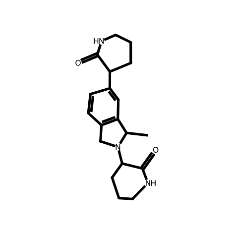 CC1c2cc(C3CCCNC3=O)ccc2CN1C1CCCNC1=O